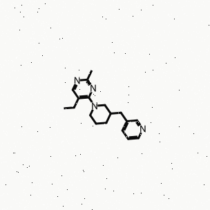 CCc1cnc(C)nc1N1CCCC(Cc2cccnc2)C1